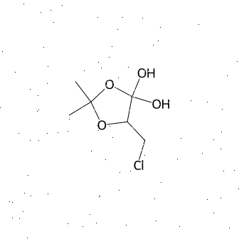 CC1(C)OC(CCl)C(O)(O)O1